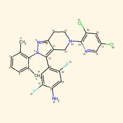 Cc1cccc(C)c1-n1nc2c(c1-c1cc(F)c(N)cc1F)CN(c1ncc(Cl)cc1Cl)CC2